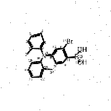 Cc1ccccc1N(c1ccc(B(O)O)c(Br)c1)c1ccccc1C